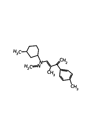 C=NN(/C=C(\C)C(=C)c1ccc(C)cc1)C1CCCC(C)C1